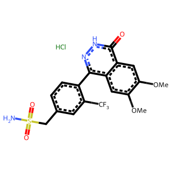 COc1cc2c(-c3ccc(CS(N)(=O)=O)cc3C(F)(F)F)n[nH]c(=O)c2cc1OC.Cl